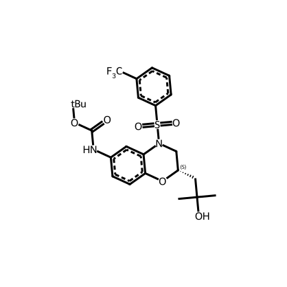 CC(C)(O)C[C@H]1CN(S(=O)(=O)c2cccc(C(F)(F)F)c2)c2cc(NC(=O)OC(C)(C)C)ccc2O1